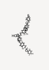 Cc1ccc(OCC=Cc2ccc(CN3CCN(C(=O)C=Cc4cc(C)c(Oc5ccc(OCc6ccc(F)cc6)cn5)c(C)c4)CC3)cc2C)cc1.Cl